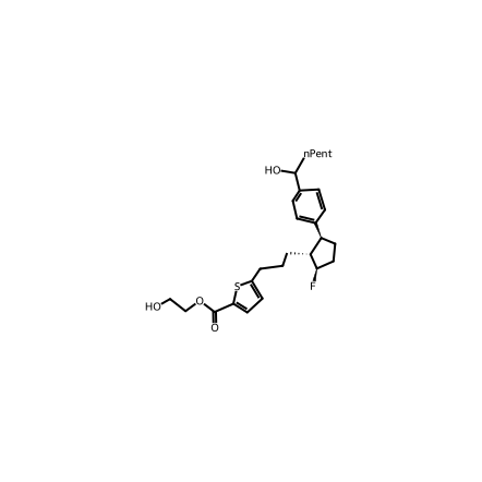 CCCCCC(O)c1ccc([C@H]2CC[C@@H](F)[C@@H]2CCCc2ccc(C(=O)OCCO)s2)cc1